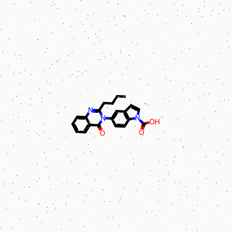 CCCCc1nc2ccccc2c(=O)n1-c1ccc2c(ccn2C(=O)O)c1